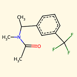 CC(=O)N(C)C(C)c1cccc(C(F)(F)F)c1